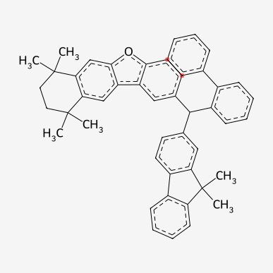 CC1(C)CCC(C)(C)c2cc3c(cc21)oc1ccc(C(c2ccc4c(c2)C(C)(C)c2ccccc2-4)c2ccccc2-c2ccccc2)cc13